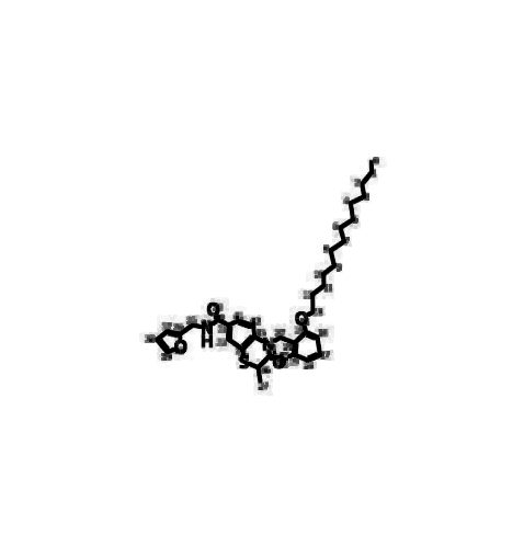 CCCCCCCCCCCCCCOc1cccc(F)c1CN1C(=O)C(C)Sc2cc(C(=O)NCc3ccco3)ccc21